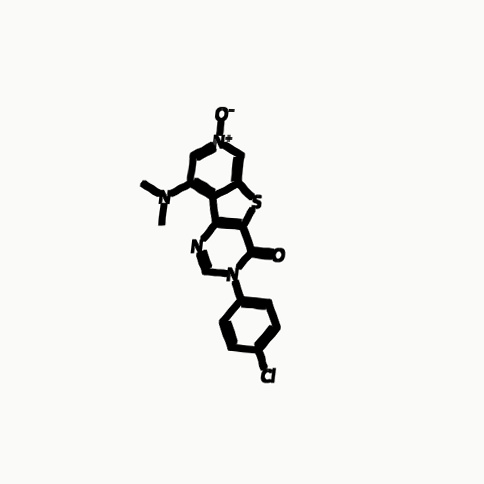 CN(C)c1c[n+]([O-])cc2sc3c(=O)n(-c4ccc(Cl)cc4)cnc3c12